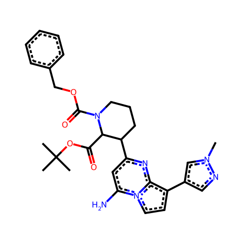 Cn1cc(-c2ccn3c(N)cc(C4CCCN(C(=O)OCc5ccccc5)C4C(=O)OC(C)(C)C)nc23)cn1